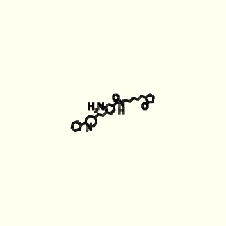 CN1CCC(CCc2ccc(C(=O)NCCCCCC3CCCC3=O)cc2N)CCC1c1ccccc1